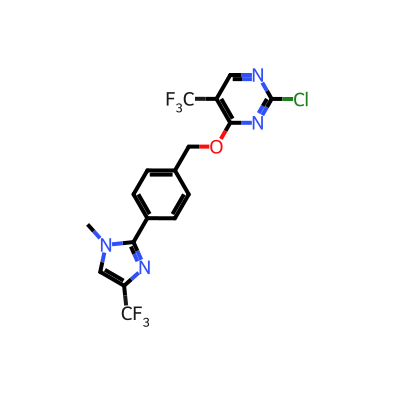 Cn1cc(C(F)(F)F)nc1-c1ccc(COc2nc(Cl)ncc2C(F)(F)F)cc1